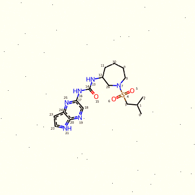 CC(C)CS(=O)(=O)N1CCCCC(NC(=O)Nc2cnc3[nH]ccc3n2)C1